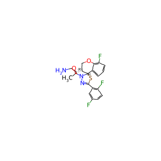 CC(=O)N1N=C(c2cc(F)ccc2F)S[C@@]12c1cccc(F)c1OC[C@H]2CCN